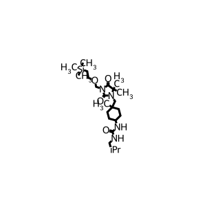 CC(C)CNC(=O)NC1CCC(C)(CN2C(=O)N(COCC[Si](C)(C)C)C(=O)C2(C)C)CC1